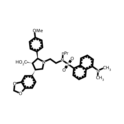 CCCN(CCN1C[C@H](c2ccc3c(c2)OCO3)[C@H](C(=O)O)[C@H]1c1ccc(OC)cc1)S(=O)(=O)c1cccc2c(N(C)C)cccc12